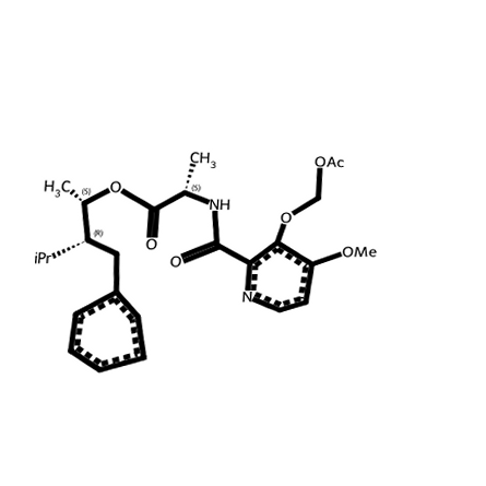 COc1ccnc(C(=O)N[C@@H](C)C(=O)O[C@@H](C)[C@H](Cc2ccccc2)C(C)C)c1OCOC(C)=O